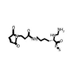 NCN[C@@H](CCCCNC(=O)CCN1C(=O)C=CC1=O)C(=O)P=S